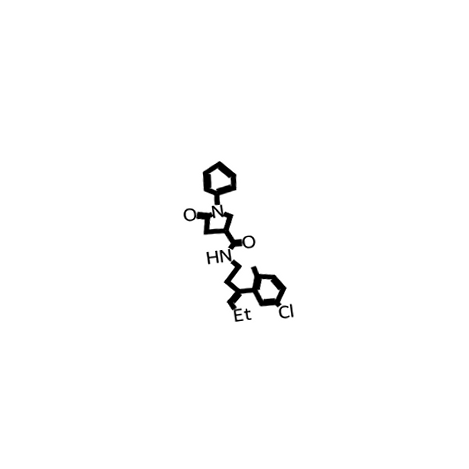 CC/C=C(/CCNC(=O)C1CC(=O)N(c2ccccc2)C1)c1cc(Cl)ccc1C